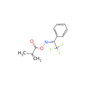 C=C(C)C(=O)O/N=C(/c1ccccc1)C(F)(F)F